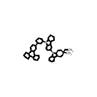 C=CC1(C)C=Cc2c(n(-c3ccc4c(c3)c3ccccc3n4-c3cccc(-c4ccc5c6ccccc6c6ccccc6c5c4)c3)c3ccccc23)C=C1